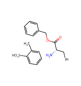 CC(C)C[C@H](N)C(=O)OCc1ccccc1.Cc1ccccc1S(=O)(=O)O